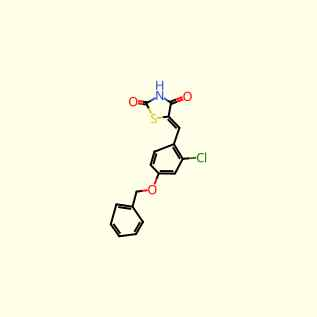 O=C1NC(=O)/C(=C/c2ccc(OCc3ccccc3)cc2Cl)S1